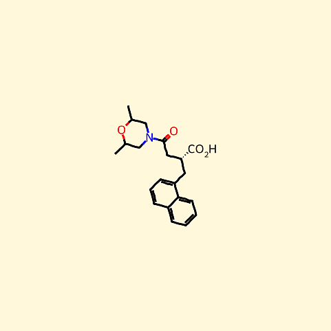 CC1CN(C(=O)C[C@@H](Cc2cccc3ccccc23)C(=O)O)CC(C)O1